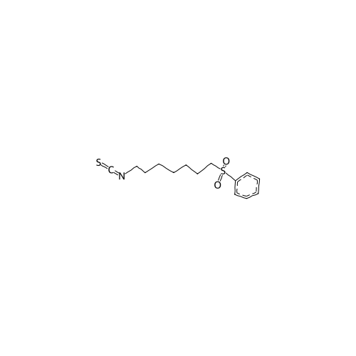 O=S(=O)(CCCCCCCN=C=S)c1ccccc1